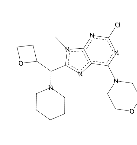 Cn1c(C(C2CCO2)N2CCCCC2)nc2c(N3CCOCC3)nc(Cl)nc21